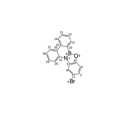 Brc1ccc2c(c1)N1B(O2)c2ccccc2-c2ccccc21